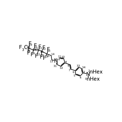 CCCCCCN(CCCCCC)c1ccc(/C=C/c2cc[n+](CCC(F)(F)C(F)(F)C(F)(F)C(F)(F)C(F)(F)C(F)(F)F)cc2)cc1